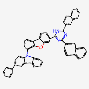 c1ccc(-c2ccc3c(c2)c2ccccc2n3-c2cccc3c2oc2cc(C4=NC(c5ccc6ccccc6c5)=NC(c5ccc6ccccc6c5)N4)ccc23)cc1